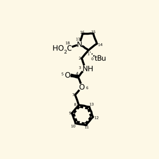 CC(C)(C)[C@@]1(CNC(=O)OCc2ccccc2)CCCN1C(=O)O